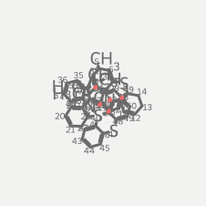 CCC1=C2C(C)C=C3SC4=C(C=CCC4)N(C4=C(C5=CC=CCC5(N5c6ccccc6S(C)(C)c6ccccc65)S45c4ccccc4Sc4ccccc45)C2C)C31C